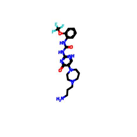 NCCCN1CCCN(c2c[nH]c(NC(=O)Nc3ccccc3OC(F)(F)F)nc2=O)CC1